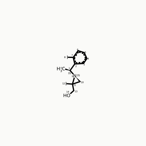 C[C@@H](c1ccccc1I)[N@@]1CC1(I)CO